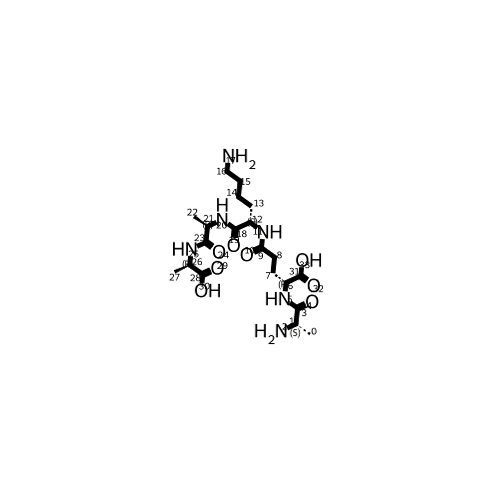 C[C@H](N)C(=O)N[C@H](CCC(=O)N[C@@H](CCCCN)C(=O)N[C@H](C)C(=O)N[C@H](C)C(=O)O)C(=O)O